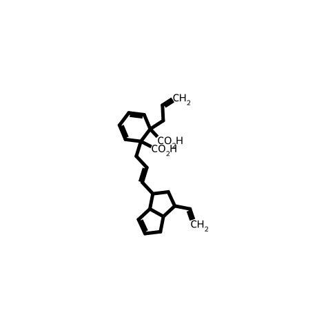 C=CCC1(C(=O)O)C=CC=CC1(CC=CC1CC(C=C)C2CC=CC12)C(=O)O